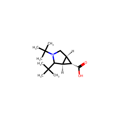 CC(C)(C)C1[C@H]2[C@@H](CN1C(C)(C)C)[C@@H]2C(=O)O